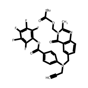 C#CCN(Cc1ccc2nc(C)n(COC(=O)C(C)(C)C)c(=O)c2c1)c1ccc(C(=O)Oc2c(F)c(F)c(F)c(F)c2F)cc1